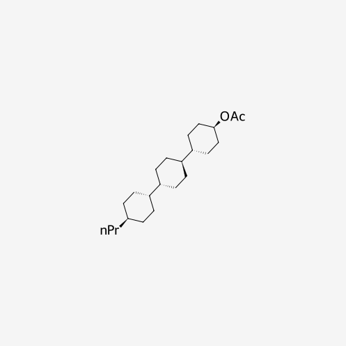 CCC[C@H]1CC[C@H]([C@H]2CC[C@H]([C@H]3CC[C@H](OC(C)=O)CC3)CC2)CC1